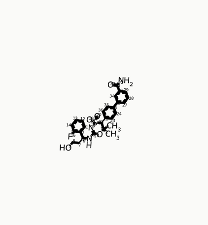 CC1(C)OC(N[C@@H](CCO)c2ccccc2F)=NS(=O)(=O)[C@H]1c1ccc(-c2cccc(C(N)=O)c2)cc1